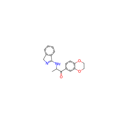 CC(NC1=NCc2ccccc21)C(=O)c1ccc2c(c1)OCCO2